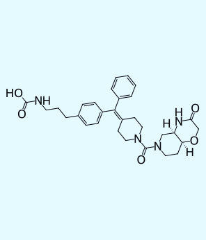 O=C(O)NCCCc1ccc(C(=C2CCN(C(=O)N3CC[C@@H]4OCC(=O)N[C@@H]4C3)CC2)c2ccccc2)cc1